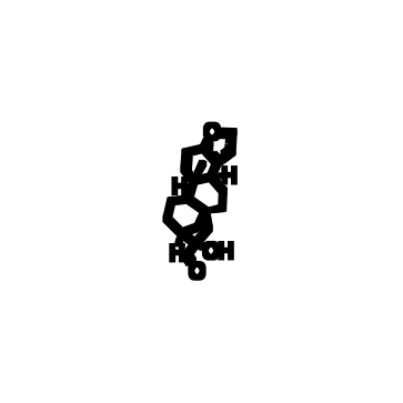 C[C@@]12C=Cc3occc3[C@H]1CC[C@@]13C[C@@H](CC[C@H]12)[C@@](O)(C=O)C3